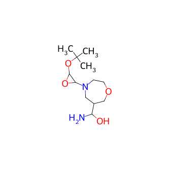 CC(C)(C)OC1OC1N1CCOCC(C(N)O)C1